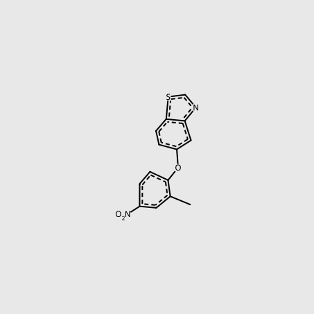 Cc1cc([N+](=O)[O-])ccc1Oc1ccc2scnc2c1